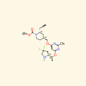 C#CC[C@@H]1C[C@@H](COc2cc(O[C@@H](C)[C@@H]3CC(F)(F)CN3C)nc(C#N)n2)CCN1C(=O)OC(C)(C)C